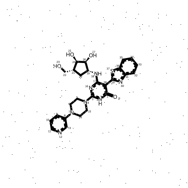 O=c1[nH]c(N2CCN(c3cccnc3)CC2)nc(N[C@@H]2C[C@H](CO)[C@@H](O)[C@H]2O)c1-c1nc2ccccc2s1